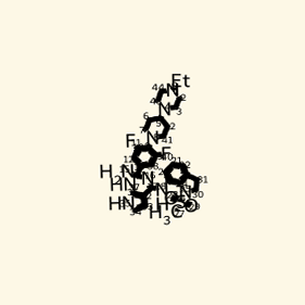 CCN1CCN(C2CCN(c3c(F)cc(C4(N)N=C(Nc5cccc6c5N(S(C)(=O)=O)CC6)c5cc[nH]c5N4)cc3F)CC2)CC1